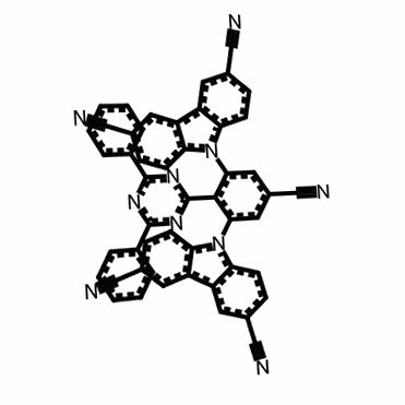 N#Cc1cc(-n2c3ccc(C#N)cc3c3cc(C#N)ccc32)c(-c2nc(-c3ccccc3)nc(-c3ccccc3)n2)c(-n2c3ccc(C#N)cc3c3cc(C#N)ccc32)c1